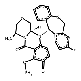 C[C@H]1COC[C@@H]2N1C(=O)c1c(OP)c(=O)ccn1N2[C@H]1c2ccc(F)cc2CSc2ccccc21